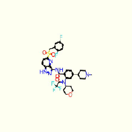 CN1CCC(c2ccc(C(=O)Nc3n[nH]c4ccc(S(=O)(=O)Cc5cc(F)ccc5F)nc34)c(N(C(=O)C(F)(F)F)C3CCOCC3)c2)CC1